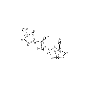 O=C(N[C@@H]1C[C@@H]2CCN(C2)C1)c1ccc(Cl)o1